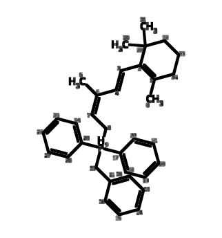 CC1=C(/C=C/C(C)=C\C[PH](Cc2ccccc2)(c2ccccc2)c2ccccc2)C(C)(C)CCC1